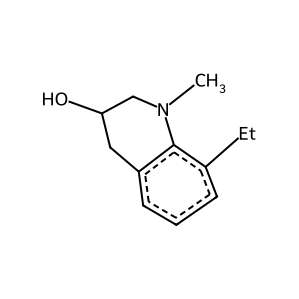 CCc1cccc2c1N(C)CC(O)C2